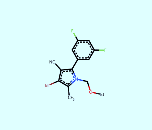 CCOCn1c(-c2cc(F)cc(F)c2)c(C#N)c(Br)c1C(F)(F)F